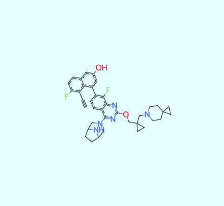 C#Cc1c(F)ccc2cc(O)cc(-c3ccc4c(N5CC6CCC(C5)N6)nc(OCC5(CN6CCC7(CC6)CC7)CC5)nc4c3F)c12